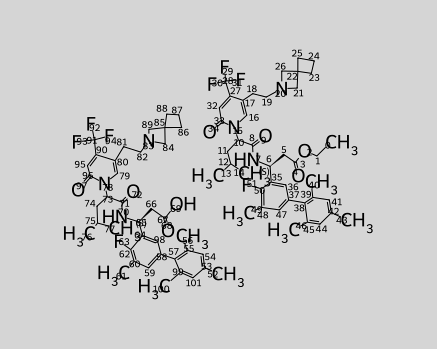 CCOC(=O)C[C@H](NC(=O)C(CC(C)C)n1cc(CCN2CC3(CCC3)C2)c(C(F)(F)F)cc1=O)c1cc(-c2c(C)cc(C)cc2C)cc(C)c1F.Cc1cc(C)c(-c2cc(C)c(F)c([C@H](CC(=O)O)NC(=O)C(CC(C)C)n3cc(CCN4CC5(CCC5)C4)c(C(F)(F)F)cc3=O)c2)c(C)c1